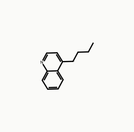 CCC[CH]c1ccnc2ccccc12